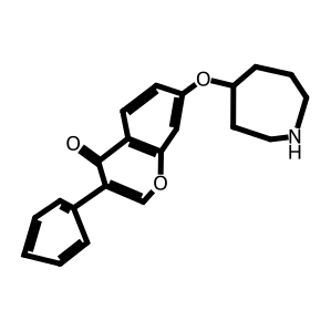 O=c1c(-c2ccccc2)coc2cc(OC3CCCNCC3)ccc12